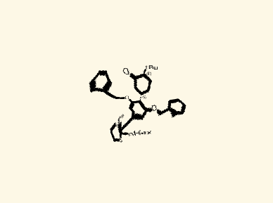 CCCCCCC1(c2cc(OCc3ccccc3)c([C@H]3CC[C@H](C(C)(C)C)C(=O)C3)c(OCc3ccccc3)c2)SCCS1